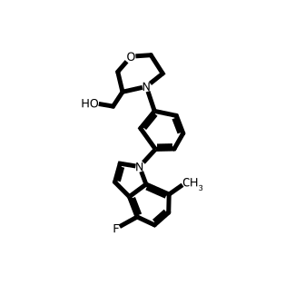 Cc1ccc(F)c2ccn(-c3cccc(N4CCOCC4CO)c3)c12